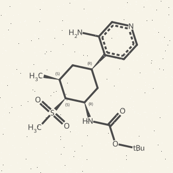 C[C@H]1C[C@@H](c2ccncc2N)C[C@@H](NC(=O)OC(C)(C)C)[C@H]1S(C)(=O)=O